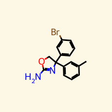 Cc1cccc(C2(c3cccc(Br)c3)COC(N)=N2)c1